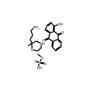 CC1(CCCN)CNCCO1.COS(=O)(=O)O.O=C1c2ccccc2C(=O)c2c(O)cccc21